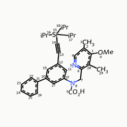 COc1c(C)cnc(CN(C(=O)O)c2cc(C#C[Si](C(C)C)(C(C)C)C(C)C)cc(-c3ccccc3)c2)c1C